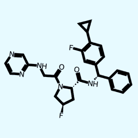 O=C(N[C@@H](c1ccccc1)c1ccc(C2CC2)c(F)c1)[C@@H]1C[C@@H](F)CN1C(=O)CNc1cnccn1